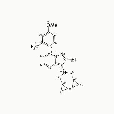 CCc1nn2c(-c3ccc(OC)cc3C(F)(F)F)cccc2c1N(CC1CC1)CC1CC1